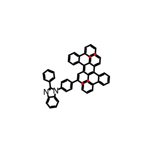 c1ccc(-c2ccccc2-c2c3ccccc3c(-c3ccccc3-c3ccccc3)c3cc(-c4ccc(-n5c(-c6ccccc6)nc6ccccc65)cc4)ccc23)cc1